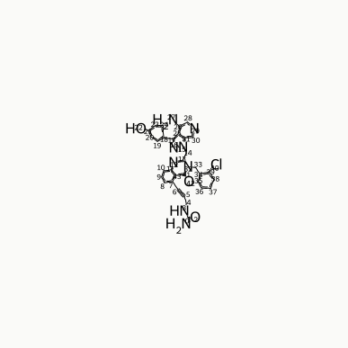 NC(=O)NCC#Cc1cccc2nc(Cn3nc(-c4ccc(O)cc4)c4c(N)cncc43)n(Cc3ccccc3Cl)c(=O)c12